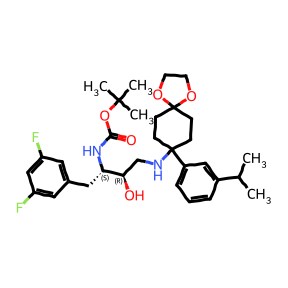 CC(C)c1cccc(C2(NC[C@@H](O)[C@H](Cc3cc(F)cc(F)c3)NC(=O)OC(C)(C)C)CCC3(CC2)OCCO3)c1